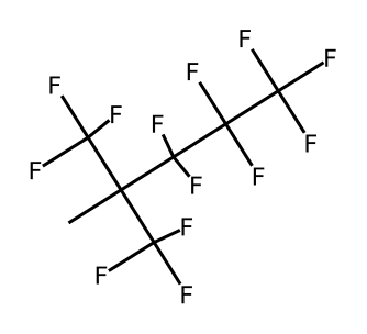 CC(C(F)(F)F)(C(F)(F)F)C(F)(F)C(F)(F)C(F)(F)F